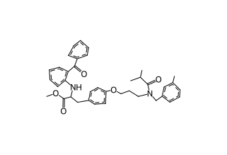 COC(=O)C(Cc1ccc(OCCCN(Cc2cccc(C)c2)C(=O)C(C)C)cc1)Nc1ccccc1C(=O)c1ccccc1